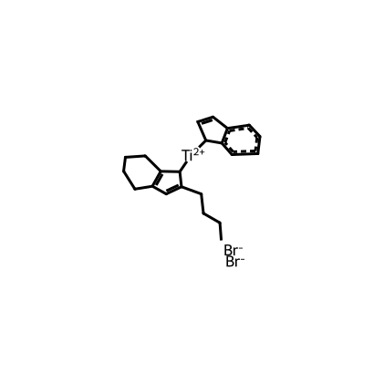 CCCCC1=CC2=C(CCCC2)[CH]1[Ti+2][CH]1C=Cc2ccccc21.[Br-].[Br-]